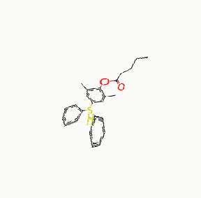 CCCCC(=O)Oc1c(C)cc([SH](c2ccccc2)c2ccccc2)cc1C